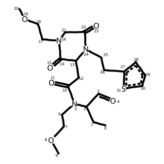 CCC(C=O)N(CCOC)C(=O)CC1C(=O)N(CCOC)CC(=O)N1CCc1cccs1